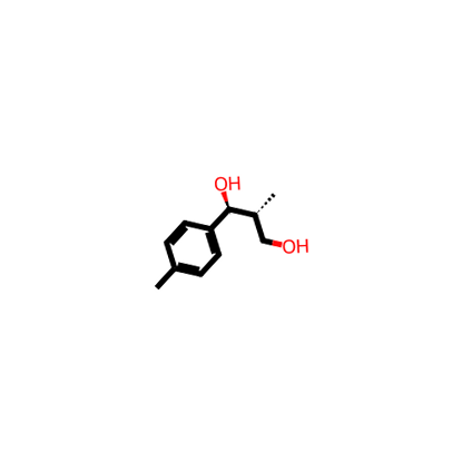 Cc1ccc([C@@H](O)[C@H](C)CO)cc1